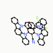 N#Cc1c(-n2c3ccccc3c3ccc4c5ccccc5n(-c5ccccc5)c4c32)ccc(-c2cc(F)cc(F)c2)c1-n1c2ccccc2c2ccc3c4ccccc4n(-c4ccccc4)c3c21